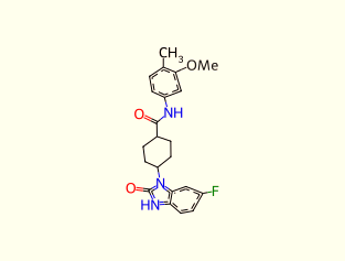 COc1cc(NC(=O)C2CCC(n3c(=O)[nH]c4ccc(F)cc43)CC2)ccc1C